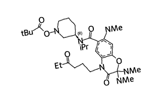 CCC(=O)CCCN1C(=O)C(NC)(NC)Oc2cc(NC)c(C(=O)N(C(C)C)[C@@H]3CCCN(OC(=O)C(C)(C)C)C3)cc21